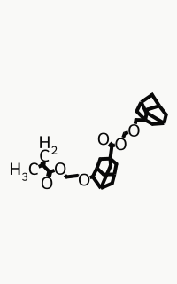 C=C(C)C(=O)OCCOC1C2CC3CC1CC(C(=O)OCOCC14CC5CC(CC(C5)C1)C4)(C3)C2